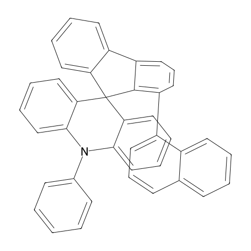 c1ccc(N2c3ccccc3C3(c4ccccc4-c4cccc(-c5cccc6ccccc56)c43)c3ccccc32)cc1